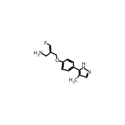 Cc1cn[nH]c1-c1ccc(OC/C(=C/F)CN)cc1